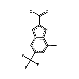 Cc1cc(C(F)(F)F)cn2cc(C(=O)Cl)nc12